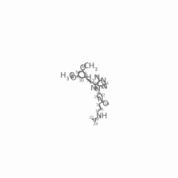 COc1cc(C#Cc2nn(C3CN(C(=O)C=CCNC4CC4)C3)c3ncnc(N)c23)cc(OC)c1